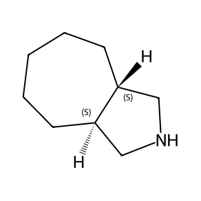 C1CC[C@@H]2CNC[C@H]2CC1